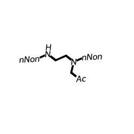 CCCCCCCCCNCCN(CCCCCCCCC)CC(C)=O